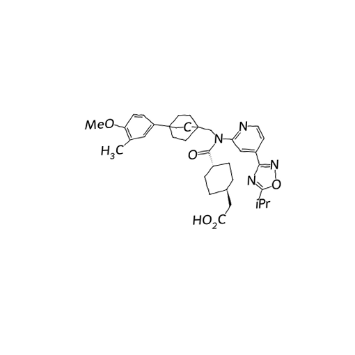 COc1ccc(C23CCC(CN(c4cc(-c5noc(C(C)C)n5)ccn4)C(=O)[C@H]4CC[C@H](CC(=O)O)CC4)(CC2)CC3)cc1C